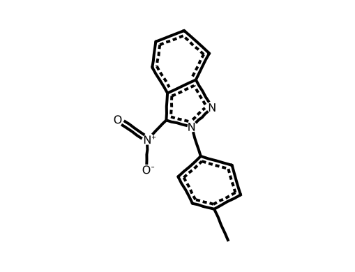 Cc1ccc(-n2nc3ccccc3c2[N+](=O)[O-])cc1